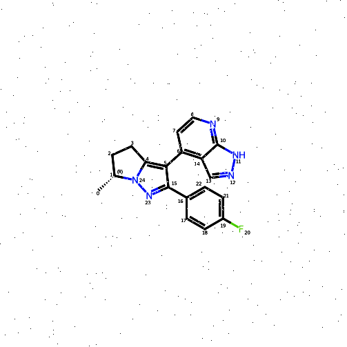 C[C@@H]1CCc2c(-c3ccnc4[nH]ncc34)c(-c3ccc(F)cc3)nn21